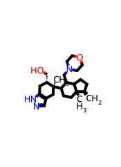 C=C1CCC2C(CN3CCOCC3)C([C@@]3(C)Cc4cn[nH]c4C[C@@H]3CO)CCC12C